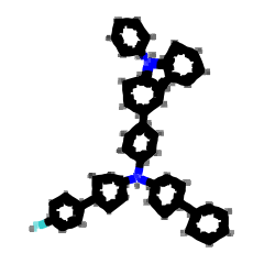 Fc1ccc(-c2ccc(N(c3ccc(-c4ccccc4)cc3)c3ccc(-c4ccc5c(c4)c4ccccc4n5-c4ccccc4)cc3)cc2)cc1